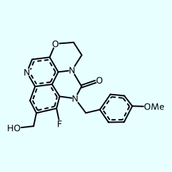 COc1ccc(CN2C(=O)N3CCOc4cnc5cc(CO)c(F)c2c5c43)cc1